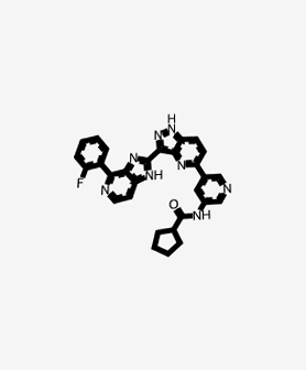 O=C(Nc1cncc(-c2ccc3[nH]nc(-c4nc5c(-c6ccccc6F)nccc5[nH]4)c3n2)c1)C1CCCC1